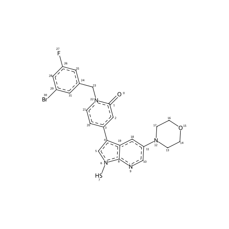 O=c1cc(-c2cn(S)c3ncc(N4CCOCC4)cc23)ccn1Cc1cc(F)cc(Br)c1